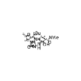 CNC(=O)c1cccc(Nc2n[s+]([O-])nc2N[C@@H](c2ccc(C)o2)C(C)(C)C)c1O